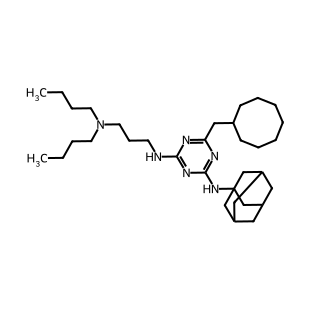 CCCCN(CCCC)CCCNc1nc(CC2CCCCCCC2)nc(NC23CC4CC(CC(C4)C2)C3)n1